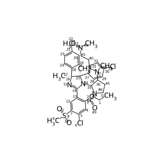 CCOc1cc(Cl)c(S(C)(=O)=O)cc1C1=N[C@@](C)(c2ccc(Cl)cc2)[C@@](C)(c2ccc(Cl)cc2)N1C1C(N(C)CCCN(C)C)CCN1C=O